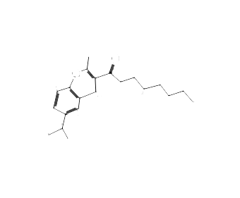 CCCCCCCC(=O)C1=C(C)Oc2ccc(C(C)C)cc2C1